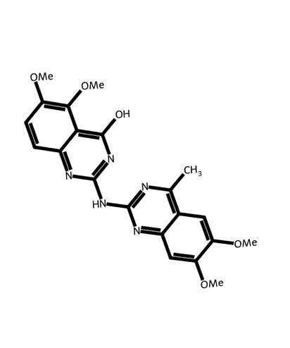 COc1cc2nc(Nc3nc(O)c4c(OC)c(OC)ccc4n3)nc(C)c2cc1OC